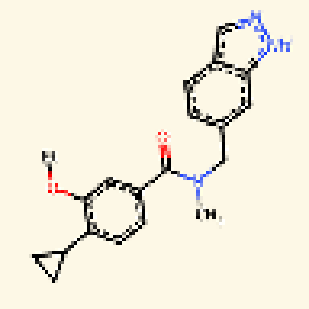 CCOc1cc(C(=O)N(C)Cc2ccc3cn[nH]c3c2)ccc1C1CC1